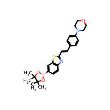 CC1(C)OB(c2ccc3nc(C=Cc4ccc(N5CCOCC5)cc4)sc3c2)OC1(C)C